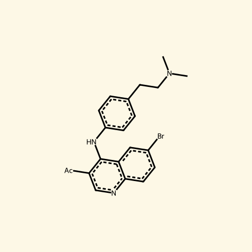 CC(=O)c1cnc2ccc(Br)cc2c1Nc1ccc(CCN(C)C)cc1